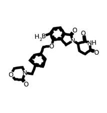 Bc1ccc2c(c1OCc1ccc(CN3CCOCC3=O)cc1)CN(C1CCC(=O)NC1=O)C2=O